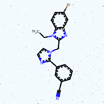 CCn1c(Cn2ccnc2-c2cccc(C#N)c2)nc2cc(Br)ccc21